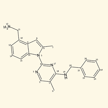 Cc1cnc(-n2c(C)cc3c(CN)cccc32)nc1NCc1ccccc1